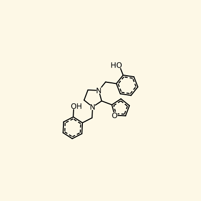 Oc1ccccc1CN1CCN(Cc2ccccc2O)C1c1ccco1